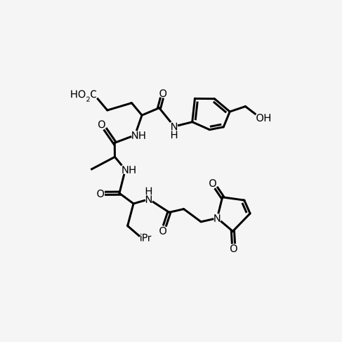 CC(C)CC(NC(=O)CCN1C(=O)C=CC1=O)C(=O)NC(C)C(=O)NC(CCC(=O)O)C(=O)Nc1ccc(CO)cc1